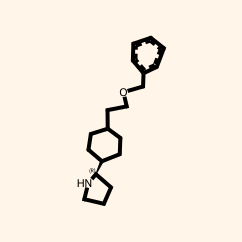 c1ccc(COCCC2CCC([C@H]3CCCN3)CC2)cc1